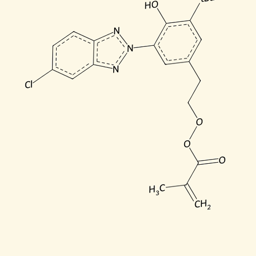 C=C(C)C(=O)OOCCc1cc(-n2nc3ccc(Cl)cc3n2)c(O)c(C(C)(C)C)c1